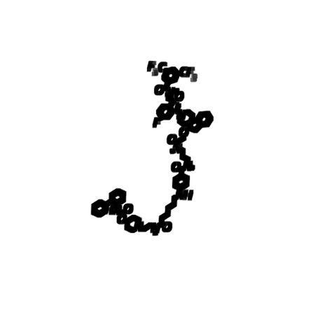 CN(CCN1CCC(OC(=O)Nc2ccccc2-c2ccccc2)CC1)C(=O)CCCCCNc1ccc(C(=O)N(C)CCCN(C)C(=O)CO[C@H]2Cc3ccccc3C23CCN(CC[C@]2(c4ccc(F)cc4)CN(C(=O)c4cc(C(F)(F)F)cc(C(F)(F)F)c4)CO2)CC3)cc1